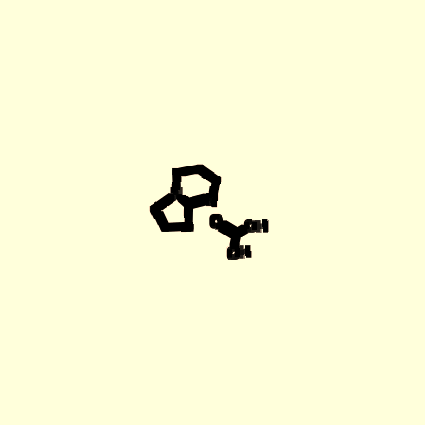 C1CN=C2CCCN2C1.O=C(O)O